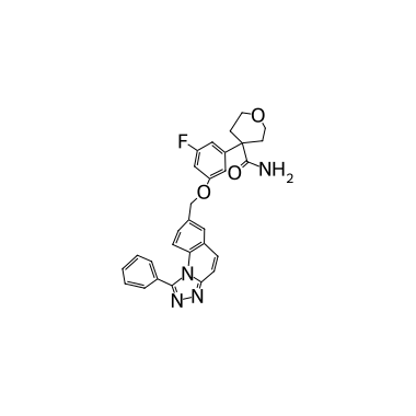 NC(=O)C1(c2cc(F)cc(OCc3ccc4c(ccc5nnc(-c6ccccc6)n54)c3)c2)CCOCC1